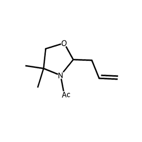 C=CCC1OCC(C)(C)N1C(C)=O